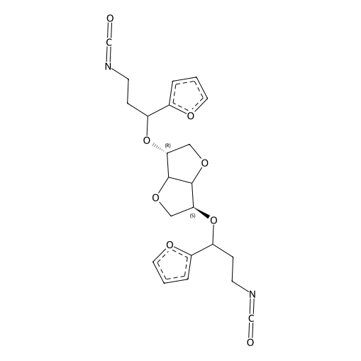 O=C=NCCC(O[C@H]1COC2C1OC[C@H]2OC(CCN=C=O)c1ccco1)c1ccco1